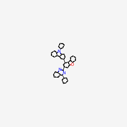 c1ccc(-c2nc(-c3cc(-c4ccc5c(c4)c4ccccc4n5-c4ccccc4)c4c(c3)oc3ccccc34)nc3ccccc23)cc1